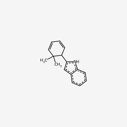 CC1(C)C=CC=CC1c1cc2ccccc2[nH]1